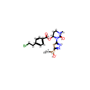 CCC[S+]([O-])c1nnc(N2C(=O)N(C)CCC2OC(=O)c2ccc(CCBr)cc2)s1